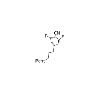 CCCC(C)CCCc1cc(F)c(C#N)c(F)c1